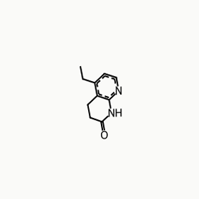 CCc1ccnc2c1CCC(=O)N2